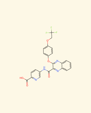 O=C(O)c1ccc(NC(=O)c2nc3ccccc3nc2Oc2ccc(OCC(F)(F)F)cc2)cn1